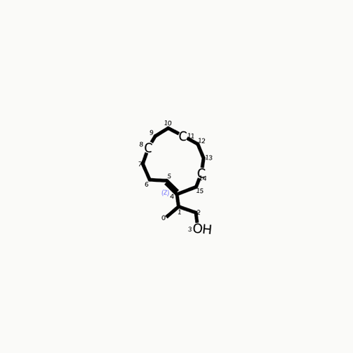 CC(CO)/C1=C\CCCCCCCCCC1